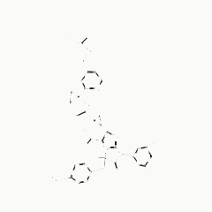 CC(C)(C)OC(=O)NCc1ccnc(C2(NC(=O)C3(NC(=O)c4cnc5n4C(C)(Cc4ccc(C#N)cc4)C(=O)N5c4cc(Cl)cc(Cl)c4)CC3)CC2)c1